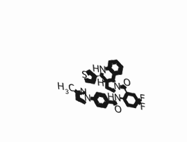 Cc1ccn(-c2ccc(C(=O)N[C@@H]3CCC(F)(F)C[C@@H]3C(=O)N3CC[C@H]4C3c3ccccc3N[C@H]4c3ccsc3)cc2)n1